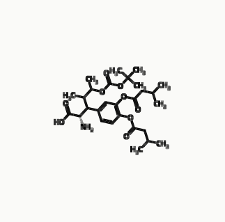 CC(C)CC(=O)Oc1ccc(C(C(C)C(C)OC(=O)OC(C)(C)C)[C@H](N)C(=O)O)cc1OC(=O)CC(C)C